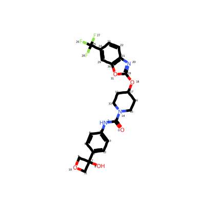 O=C(Nc1ccc(C2(O)COC2)cc1)N1CCC(Oc2nc3ccc(C(F)(F)F)cc3o2)CC1